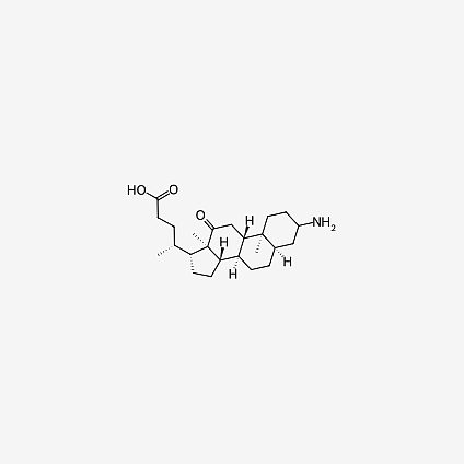 C[C@H](CCC(=O)O)[C@H]1CC[C@H]2[C@@H]3CC[C@@H]4CC(N)CC[C@]4(C)[C@H]3CC(=O)[C@]12C